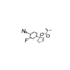 C=C(C)C(=O)OC1(c2ccc(C#N)c(F)c2)C=CCC1